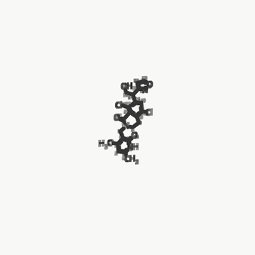 Cc1cc(C)c(CN2CCc3c(Cl)cc(C(CO)c4ccon4)c(Cl)c3C2=O)c(=O)[nH]1